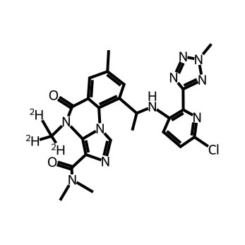 [2H]C([2H])([2H])n1c(=O)c2cc(C)cc(C(C)Nc3ccc(Cl)nc3-c3nnn(C)n3)c2n2cnc(C(=O)N(C)C)c12